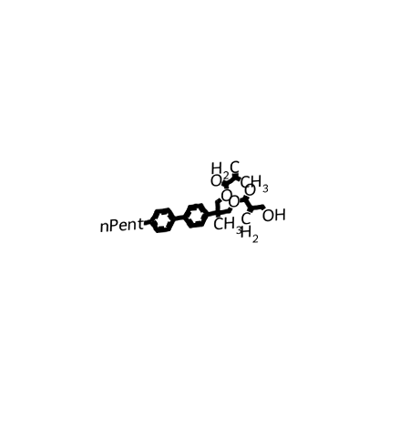 C=C(C)C(=O)OCC(C)(COC(=O)C(=C)CO)c1ccc(-c2ccc(CCCCC)cc2)cc1